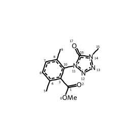 COC(=O)c1c(C)ccc(C)c1-n1nnn(C)c1=O